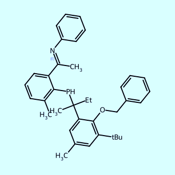 CCC(C)(Pc1c(C)cccc1/C(C)=N/c1ccccc1)c1cc(C)cc(C(C)(C)C)c1OCc1ccccc1